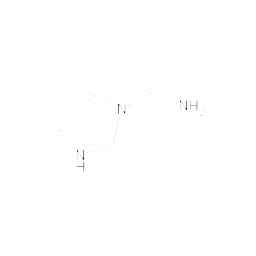 NC[n+]1cc[nH]c1